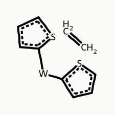 C=C.c1cs[c]([W][c]2cccs2)c1